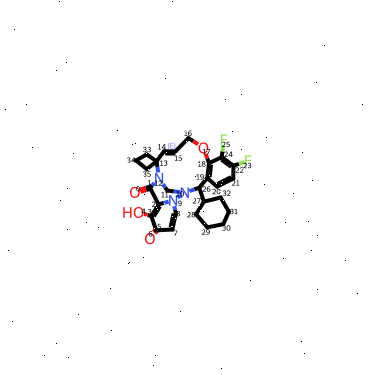 O=C1c2c(O)c(=O)ccn2N2CN1C1(/C=C/COc3c(ccc(F)c3F)C2C2CCCCC2)CCC1